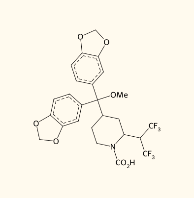 COC(c1ccc2c(c1)OCO2)(c1ccc2c(c1)OCO2)C1CCN(C(=O)O)C(C(C(F)(F)F)C(F)(F)F)C1